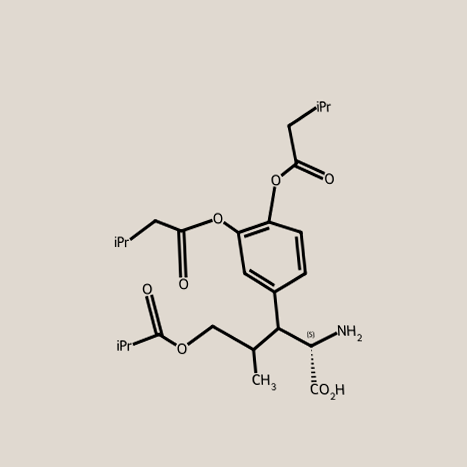 CC(C)CC(=O)Oc1ccc(C(C(C)COC(=O)C(C)C)[C@H](N)C(=O)O)cc1OC(=O)CC(C)C